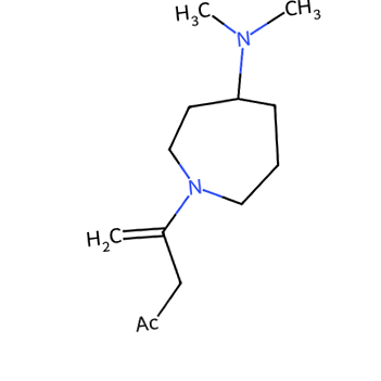 C=C(CC(C)=O)N1CCCC(N(C)C)CC1